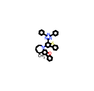 C=C1/C=C\C=C/CN(c2cc(-c3nc(-c4ccccc4)nc(-c4ccccc4)n3)c3sc4ccccc4c3c2)c2cc3oc4ccccc4c3cc21